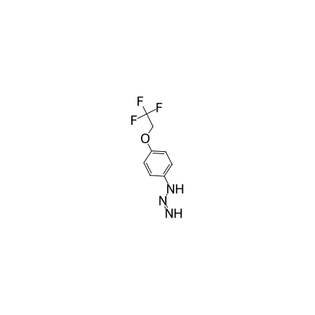 N=NNc1ccc(OCC(F)(F)F)cc1